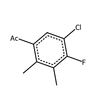 CC(=O)c1cc(Cl)c(F)c(C)c1C